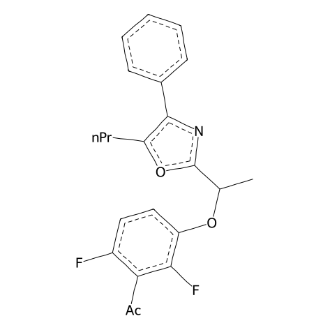 CCCc1oc(C(C)Oc2ccc(F)c(C(C)=O)c2F)nc1-c1ccccc1